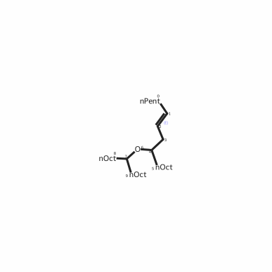 CCCCC/C=C/CC(CCCCCCCC)OC(CCCCCCCC)CCCCCCCC